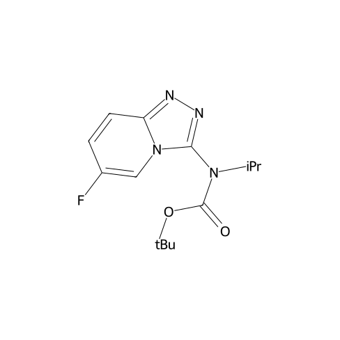 CC(C)N(C(=O)OC(C)(C)C)c1nnc2ccc(F)cn12